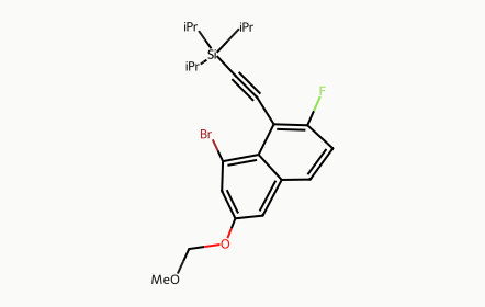 COCOc1cc(Br)c2c(C#C[Si](C(C)C)(C(C)C)C(C)C)c(F)ccc2c1